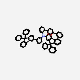 c1ccc(-c2ccc(-c3ccccc3N(c3cccc(-c4ccc5c(c4)-c4ccccc4C5(c4ccccc4)c4ccccc4)c3)c3ccc4c(c3)C(c3ccccc3)(c3ccccc3)c3ccccc3-4)cc2)cc1